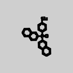 CC(C)(C)c1ccc(P(=O)(c2ccc3ccccc3c2)c2ccc3ccccc3c2)cc1